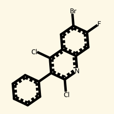 Fc1cc2nc(Cl)c(-c3ccccc3)c(Cl)c2cc1Br